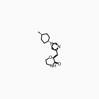 C[C@H]1CC[C@H](n2cnc(C=C3OCCNC3=O)c2)CC1